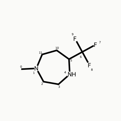 CN1CCNC(C(F)(F)F)CC1